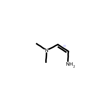 CN(C)/C=C\N